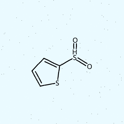 O=[SH](=O)c1cccs1